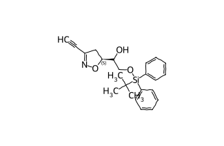 C#CC1=NO[C@H](C(O)CO[Si](c2ccccc2)(c2ccccc2)C(C)(C)C)C1